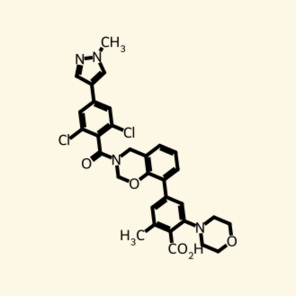 Cc1cc(-c2cccc3c2OCN(C(=O)c2c(Cl)cc(-c4cnn(C)c4)cc2Cl)C3)cc(N2CCOCC2)c1C(=O)O